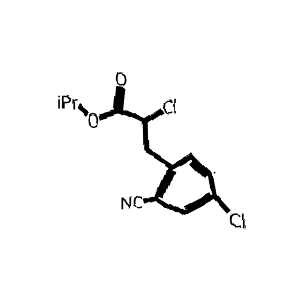 CC(C)OC(=O)C(Cl)Cc1c[c]c(Cl)cc1C#N